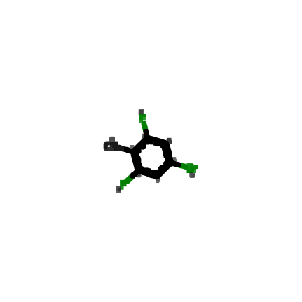 [C-]#[N+]c1c(F)cc(Br)cc1F